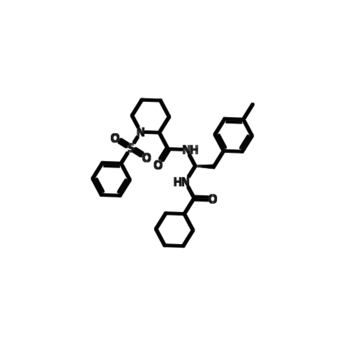 Cc1ccc(C[C@@H](NC(=O)C2CCCCC2)NC(=O)C2CCCCN2S(=O)(=O)c2ccccc2)cc1